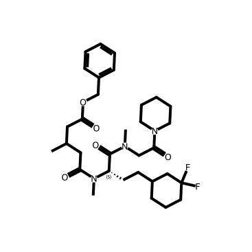 CC(CC(=O)OCc1ccccc1)CC(=O)N(C)[C@@H](CCC1CCCC(F)(F)C1)C(=O)N(C)CC(=O)N1CCCCC1